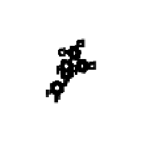 Fc1ccc(CN2C[C@@H]3CC[C@@H](c4ccc(Cl)cc4Cl)[C@H](c4ccc(Cl)cc4)[C@@H]3C2)cc1F